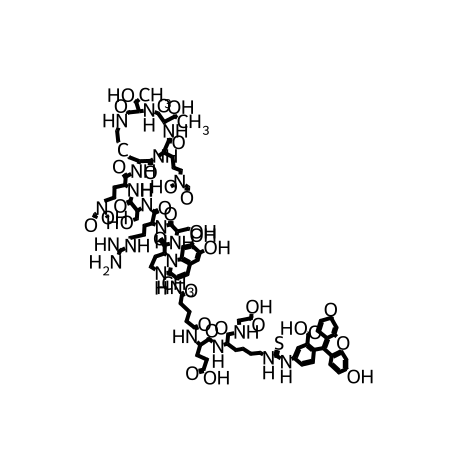 CC(O)C1NC(=O)C(CCCN(O)C=O)NC(=O)C(NC(=O)C(CCCN(O)C=O)NC(=O)C(CO)NC(=O)C(CCCNC(=N)N)NC(=O)C(CO)NC(=O)C2CCNC3(C)C(NC(=O)CCCC(=O)NC(CCC(=O)O)C(=O)NC(CCCCNC(=S)Nc4ccc(-c5c6ccc(=O)cc-6oc6cc(O)ccc56)c(C(=O)O)c4)C(=O)NCC(=O)O)=Cc4cc(O)c(O)cc4N23)CCCCNC(=O)C(C(C)O)NC1=O